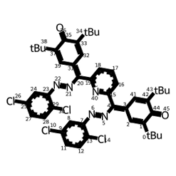 CC(C)(C)C1=CC(=C(/N=N/c2cc(Cl)ccc2Cl)c2cccc(C(/N=N/c3cc(Cl)ccc3Cl)=C3C=C(C(C)(C)C)C(=O)C(C(C)(C)C)=C3)n2)C=C(C(C)(C)C)C1=O